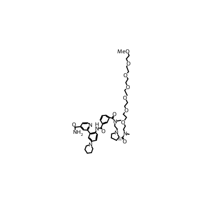 COCCOCCOCCOCCOCCOCCOCCN(C)C(=O)[C@@H]1CCCN1CCN(C)C(=O)c1cccc(C(=O)Nc2ccc(N3CCCCC3)cc2-c2cc(C(N)=O)ccn2)c1